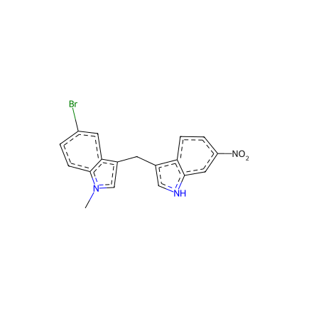 Cn1cc(Cc2c[nH]c3cc([N+](=O)[O-])ccc23)c2cc(Br)ccc21